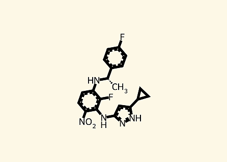 C[C@H](Nc1ccc([N+](=O)[O-])c(Nc2cc(C3CC3)[nH]n2)c1F)c1ccc(F)cc1